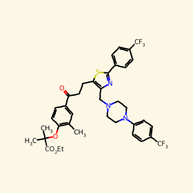 CCOC(=O)C(C)(C)Oc1ccc(C(=O)CCc2sc(-c3ccc(C(F)(F)F)cc3)nc2CN2CCN(c3ccc(C(F)(F)F)cc3)CC2)cc1C